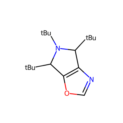 CC(C)(C)C1c2ncoc2C(C(C)(C)C)N1C(C)(C)C